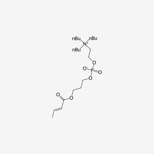 CC=CC(=O)OCCCOP(=O)([O-])OCC[N+](CCCC)(CCCC)CCCC